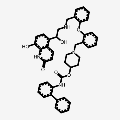 O=C(Nc1ccccc1-c1ccccc1)OC1CCN(Cc2ccccc2Oc2ccccc2CNCC(O)c2ccc(O)c3[nH]c(=O)ccc23)CC1